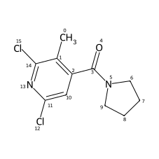 Cc1c(C(=O)N2CCCC2)cc(Cl)nc1Cl